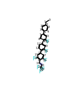 CCc1ccc(-c2ccc(-c3ccc(-c4cc(F)c(/C=C/C(F)(F)F)c(F)c4)c(F)c3)c(F)c2)cc1